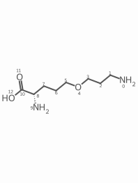 NCCCOCCC[C@H](N)C(=O)O